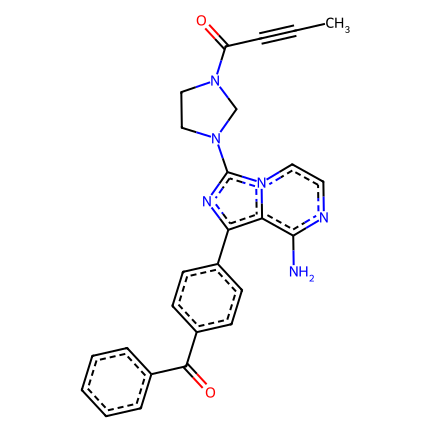 CC#CC(=O)N1CCN(c2nc(-c3ccc(C(=O)c4ccccc4)cc3)c3c(N)nccn23)C1